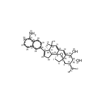 CN(C)[C@H]1C[C@@]23CC[C@@]4(O2)C(=CC(C)(C)[C@]2(C)C(c5ccc6c(N)nccc6c5)=CCC42)C=C3[C@@H](O)[C@@H]1O